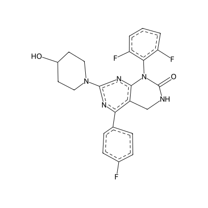 O=C1NCc2c(-c3ccc(F)cc3)nc(N3CCC(O)CC3)nc2N1c1c(F)cccc1F